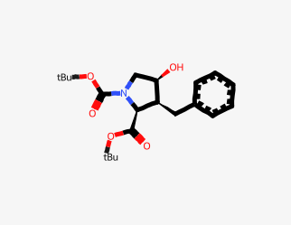 CC(C)(C)OC(=O)[C@@H]1[C@H](Cc2ccccc2)[C@H](O)CN1C(=O)OC(C)(C)C